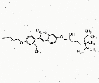 CCc1cc(OCCCO)ccc1C1=CC2C=CC(OCC(O)CCCC(C)(CC(C)C)C(C)C)=CC2SC1=O